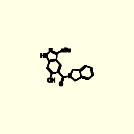 CCCCc1n[nH]c2cc(O)c(C(=O)N3Cc4ccccc4C3)cc12